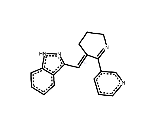 C(=C1/CCCN=C1c1cccnc1)/c1n[nH]c2ccccc12